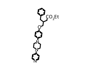 CCOC(=O)CC(COc1ccc(N2CCN(c3ccncc3)CC2)cc1)Cc1ccccc1